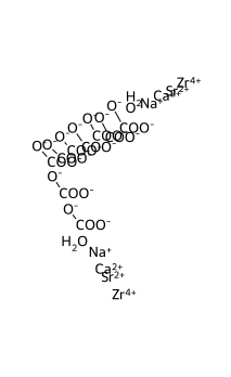 O.O.O=C([O-])[O-].O=C([O-])[O-].O=C([O-])[O-].O=C([O-])[O-].O=C([O-])[O-].O=C([O-])[O-].O=C([O-])[O-].O=C([O-])[O-].O=C([O-])[O-].[Ca+2].[Ca+2].[Na+].[Na+].[Sr+2].[Sr+2].[Zr+4].[Zr+4]